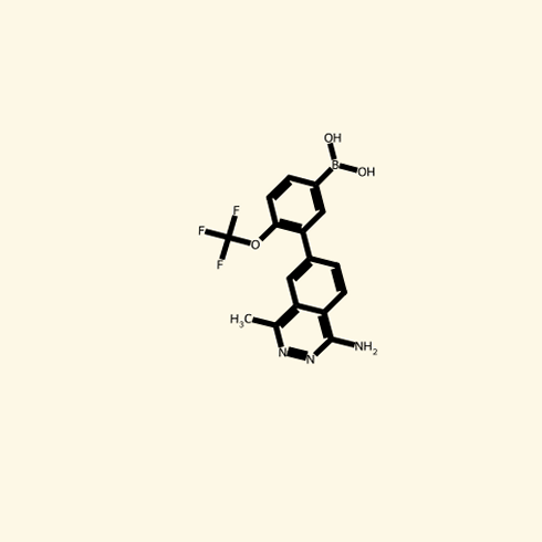 Cc1nnc(N)c2ccc(-c3cc(B(O)O)ccc3OC(F)(F)F)cc12